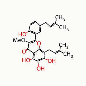 COc1c(-c2cc(CC=C(C)C)ccc2O)oc2c(CC=C(C)C)c(O)c(O)c(O)c2c1=O